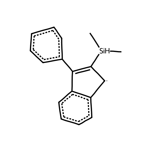 C[SiH](C)C1=C(c2ccccc2)c2ccccc2[CH]1